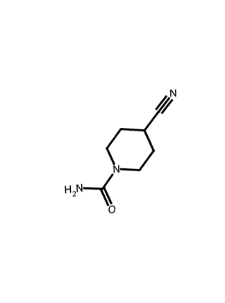 N#CC1CCN(C(N)=O)CC1